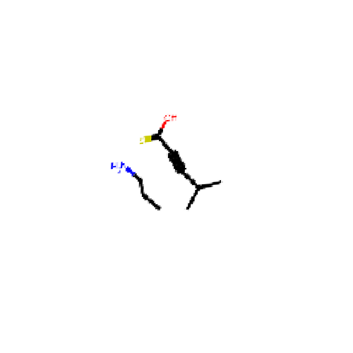 CC(C)C#CC(O)=S.CCCN